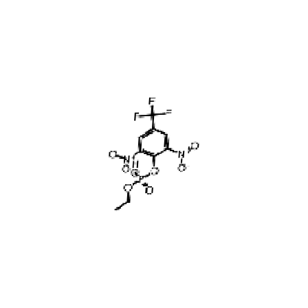 CCOP(=O)(O)Oc1c([N+](=O)[O-])cc(C(F)(F)F)cc1[N+](=O)[O-]